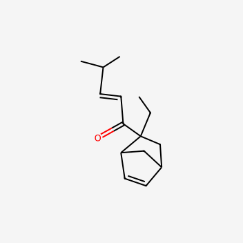 CCC1(C(=O)C=CC(C)C)CC2C=CC1C2